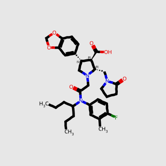 CCCC(CCC)N(C(=O)CN1C[C@H](c2ccc3c(c2)OCO3)[C@@H](C(=O)O)[C@@H]1CN1CCCC1=O)c1ccc(F)c(C)c1